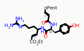 CCCCC/C=C/C(=O)N[C@@H](Cc1ccc(O)cc1)C(=O)NC(/C=C/C(=O)OCC)CCCN=C(N)N